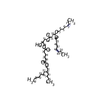 CC/C=C\CCCCOC(CCC(=O)OCC(CO)COC(=O)CCCCC(=O)OCCC(CCCC)CCCCCC)OCCCC/C=C\CC